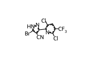 N#Cc1c(-c2nc(Cl)c(C(F)(F)F)cc2Cl)n[nH]c1Br